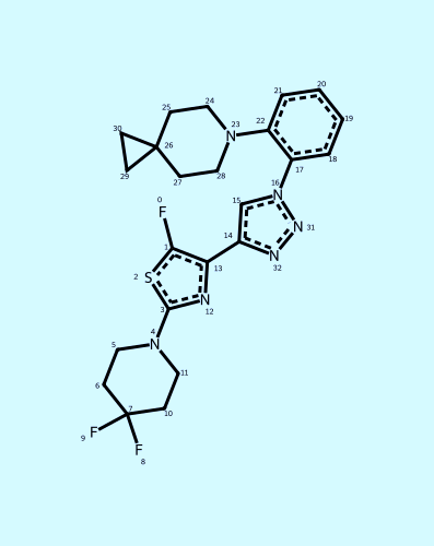 Fc1sc(N2CCC(F)(F)CC2)nc1-c1cn(-c2ccccc2N2CCC3(CC2)CC3)nn1